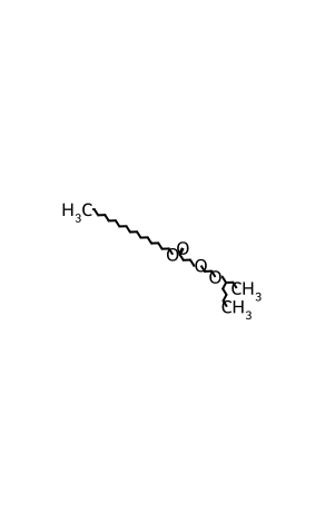 CCCCCCCCCCCCCCCCOC(=O)CCCOCCOCC(CC)CCCC